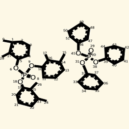 Cc1cccc(OP(=O)(Oc2cccc(C)c2C)Oc2cccc(C)c2C)c1C.O=P(Oc1ccccc1)(Oc1ccccc1)Oc1ccccc1